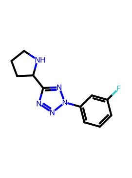 Fc1cccc(-n2nnc(C3CCCN3)n2)c1